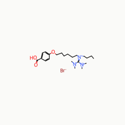 CCCC[N+](CCCCCCOc1ccc(C(=O)O)cc1)=C(N(C)C)N(C)C.[Br-]